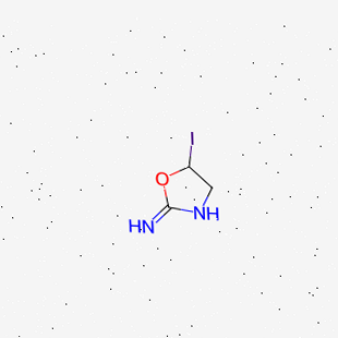 N=C1NCC(I)O1